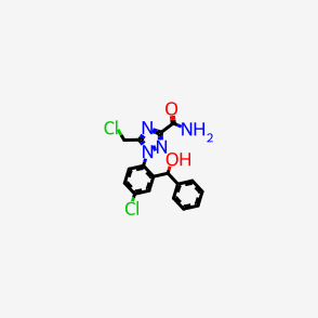 NC(=O)c1nc(CCl)n(-c2ccc(Cl)cc2C(O)c2ccccc2)n1